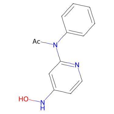 CC(=O)N(c1ccccc1)c1cc(NO)ccn1